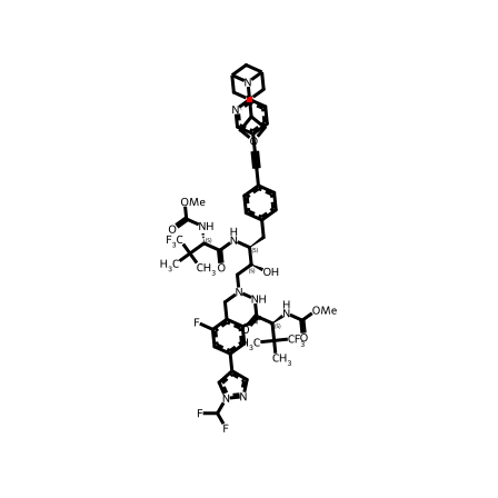 COC(=O)N[C@H](C(=O)N[C@@H](Cc1ccc(C#Cc2ccc(N3C4CC3CN(C3COC3)C4)nc2)cc1)[C@@H](O)CN(Cc1c(F)cc(-c2cnn(C(F)F)c2)cc1F)NC(=O)[C@@H](NC(=O)OC)C(C)(C)C(F)(F)F)C(C)(C)C(F)(F)F